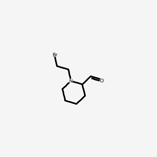 O=CC1CCCCN1CCBr